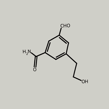 NC(=O)c1cc(C=O)cc(CCO)c1